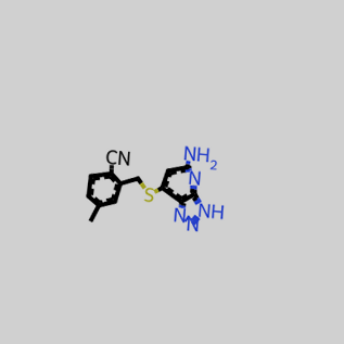 Cc1ccc(C#N)c(CSc2cc(N)nc3[nH]nnc23)c1